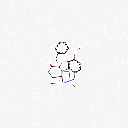 COc1ccc2c3c1O[C@@]1(Cc4ccccc4)C(=O)CC[C@@]4(OC)C(C2)N(C)CC[C@]314